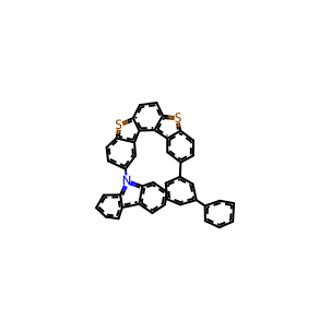 c1ccc(-c2cccc(-c3ccc4sc5ccc6sc7ccc(-n8c9ccccc9c9ccccc98)cc7c6c5c4c3)c2)cc1